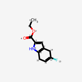 CCOC(=O)c1cc2c([nH]1)CC=C(F)C2